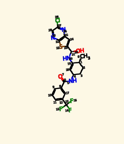 C[C@H]1CC[C@@H](NC(=O)c2cccc(C(F)(F)F)c2)C=C1N[C@H](O)c1cc2nc(Cl)cnc2s1